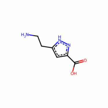 NCCc1cc(C(=O)O)n[nH]1